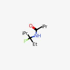 CCC(F)(NC(=O)C(C)C)C(C)C